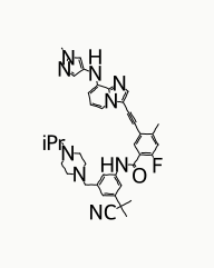 Cc1cc(F)c(C(=O)Nc2cc(CN3CCN(C(C)C)CC3)cc(C(C)(C)C#N)c2)cc1C#Cc1cnc2c(Nc3cnn(C)c3)cccn12